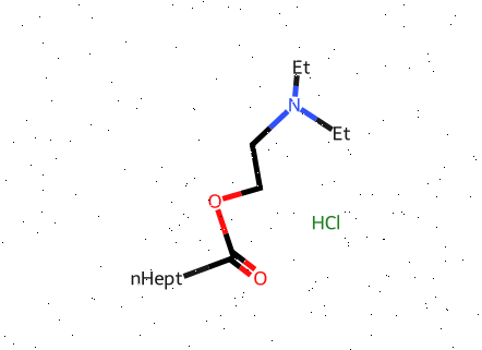 CCCCCCCC(=O)OCCN(CC)CC.Cl